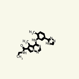 CCNC(=O)c1cn2ncnc(Nc3cc(-c4nnc[nH]4)ccc3C)c2c1C